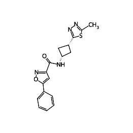 Cc1nnc([C@H]2C[C@@H](NC(=O)c3cc(-c4ccccc4)on3)C2)s1